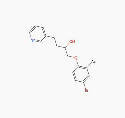 CC(=O)c1cc(Br)ccc1OCC(O)CCc1cccnc1